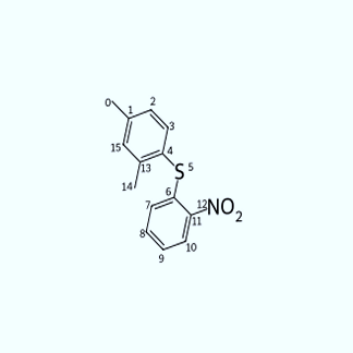 Cc1ccc(Sc2ccccc2[N+](=O)[O-])c(C)c1